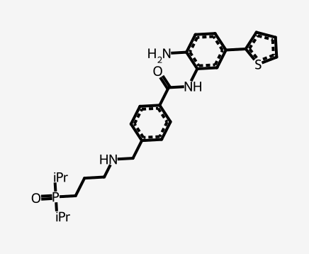 CC(C)P(=O)(CCCNCc1ccc(C(=O)Nc2cc(-c3cccs3)ccc2N)cc1)C(C)C